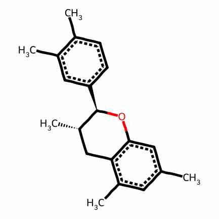 Cc1cc(C)c2c(c1)O[C@H](c1ccc(C)c(C)c1)[C@@H](C)C2